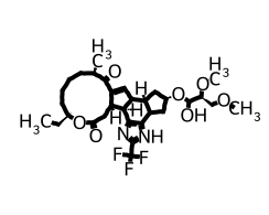 CC[C@H]1CCCC[C@@H](C)C(=O)C2=CC3[C@@H]4C[C@H](OC(O)[C@H](COC)OC)CC4c4[nH]c(C(F)(F)F)nc4[C@H]3[C@@H]2CC(=O)O1